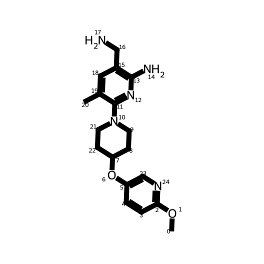 COc1ccc(OC2CCN(c3nc(N)c(CN)cc3C)CC2)cn1